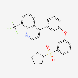 O=S(=O)(c1cccc(Oc2cccc(-c3ccnc4c(C(F)(F)F)cccc34)c2)c1)C1CCCC1